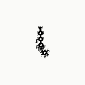 Cc1c(OC(F)(F)c2c(F)cc(-c3ccc(-c4ccc(C5CC5)cc4)cc3F)cc2F)cc(F)c(F)c1F